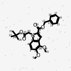 COc1ccc2c(cc(C(=O)OCc3ccccc3)n2CC(=O)OC(C)(C)C)c1OC